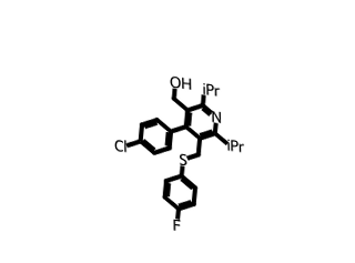 CC(C)c1nc(C(C)C)c(CSc2ccc(F)cc2)c(-c2ccc(Cl)cc2)c1CO